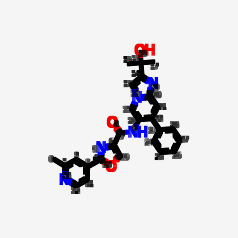 Cc1cc(-c2nc(C(=O)Nc3cn4cc(C(C)(C)O)nc4cc3-c3ccccc3)co2)ccn1